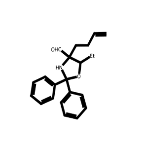 C=CCCC1(C=O)NC(c2ccccc2)(c2ccccc2)OC1CC